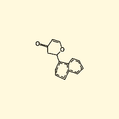 O=C1C=COC(c2cccc3ccccc23)C1